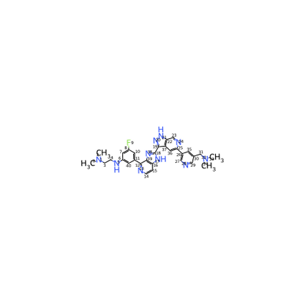 CN(C)CCNc1cc(F)cc(-c2nccc3[nH]c(-c4n[nH]c5cnc(-c6cncc(CN(C)C)c6)cc45)nc23)c1